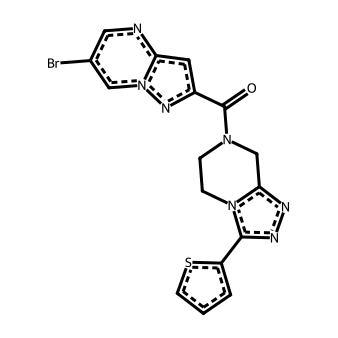 O=C(c1cc2ncc(Br)cn2n1)N1CCn2c(nnc2-c2cccs2)C1